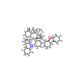 C[Si]1(C)c2ccccc2C2(c3ccccc3-n3c4ccccc4c4cccc2c43)c2cc(-c3cccc4c3oc3ccccc34)ccc21